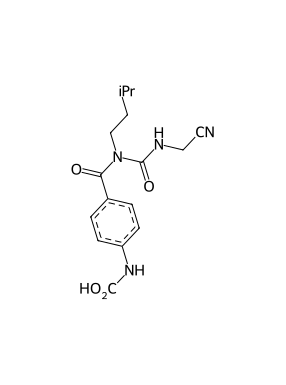 CC(C)CCN(C(=O)NCC#N)C(=O)c1ccc(NC(=O)O)cc1